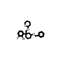 Fc1cccc(C2(COC3CCCCO3)CCCC(OCc3ccccc3)C2)c1Br